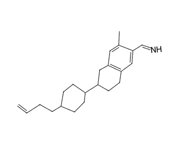 C=CCCC1CCC(C2CCc3cc(C=N)c(C)cc3C2)CC1